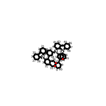 c1ccc(-c2cccc(N(c3cccc(-c4c(-n5c6ccccc6c6ccccc65)ccc5ccccc45)c3)c3cccc4c5ccccc5n(-c5ccccc5)c34)c2)cc1